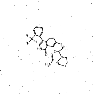 [2H]C([2H])([2H])c1ccccc1-c1c[nH]c(=O)c2cc(O[C@H](C)C(=O)N3CCOC[C@@H]3C(N)=O)ccc12